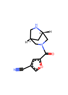 N#Cc1coc(C(=O)N2C[C@@H]3CN[C@@H](C3)C2)c1